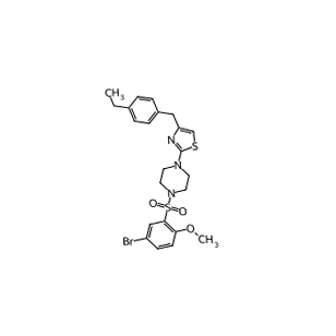 CCc1ccc(Cc2csc(N3CCN(S(=O)(=O)c4cc(Br)ccc4OC)CC3)n2)cc1